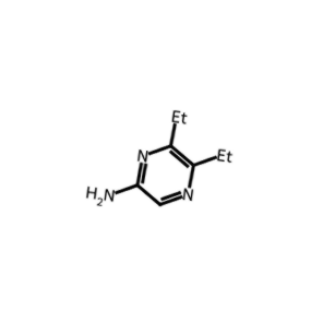 CCc1ncc(N)nc1CC